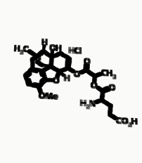 COc1ccc2c3c1O[C@H]1C(OC(=O)C(C)OC(=O)C(N)CCC(=O)O)=CC[C@@]4(O)[C@@H](C2)N(C)CC[C@]314.Cl